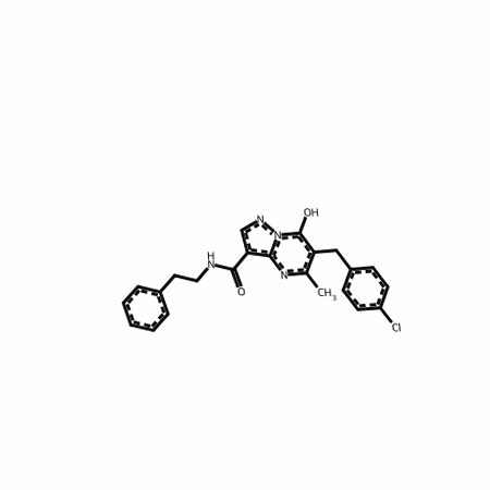 Cc1nc2c(C(=O)NCCc3ccccc3)cnn2c(O)c1Cc1ccc(Cl)cc1